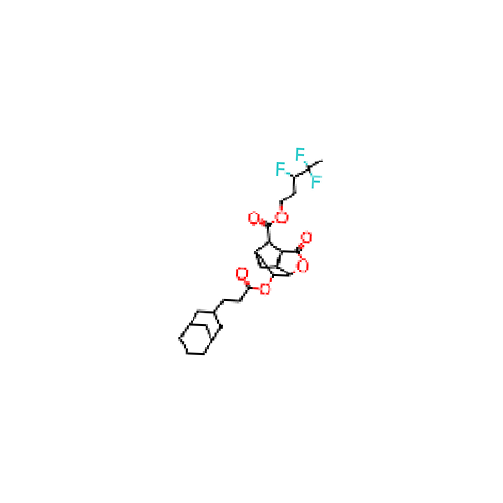 CC(F)(F)C(F)CCOC(=O)C1C2CC3C(OC(=O)C31)C2OC(=O)CCC1CC2CCCC(C2)C1